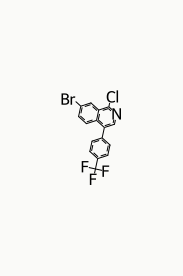 FC(F)(F)c1ccc(-c2cnc(Cl)c3cc(Br)ccc23)cc1